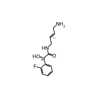 NC/C=C/CNC(=O)[C@H](O)c1ccccc1F